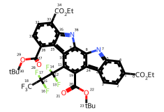 CCOC(=O)c1ccc2c(c1)=Nc1c3c(c(C(F)(F)C(F)(F)C(F)(F)F)c(C(=O)OC(C)(C)C)c1=2)=c1c(C(=O)OC(C)(C)C)ccc(C(=O)OCC)c1=N3